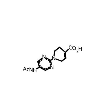 CC(=O)Nc1cnc(N2CC=C(C(=O)O)CC2)nc1